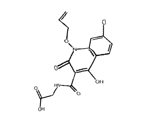 C=CCOn1c(=O)c(C(=O)NCC(=O)O)c(O)c2ccc(Cl)cc21